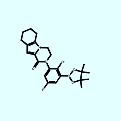 CCc1c(B2OC(C)(C)C(C)(C)O2)cc(F)cc1N1CCn2c(cc3c2CCCC3)C1=O